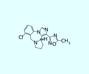 Cc1nc(-c2ncn3c2[C@@H]2CCCN2Cc2c(Cl)cccc2-3)no1